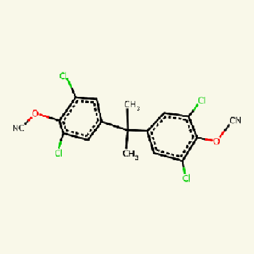 CC(C)(c1cc(Cl)c(OC#N)c(Cl)c1)c1cc(Cl)c(OC#N)c(Cl)c1